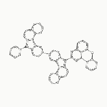 c1ccc(-n2c3ccc(-c4ccc5c(c4)c4c6ccccc6ccc4n5-c4nc5c6c(cccc6n4)Oc4ccccc4-5)cc3c3c4ccccc4ccc32)cc1